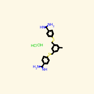 Cc1cc(CSc2ccc(C(=N)N)cc2)cc(CSc2ccc(C(=N)N)cc2)c1.Cl.Cl